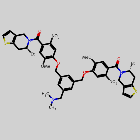 CC[C@@H]1Cc2sccc2CN1C(=O)c1cc(OC)c(OCc2cc(COc3cc([N+](=O)[O-])c(C(=O)N4Cc5ccsc5C[C@@H]4CC)cc3OC)cc(CN(C)C)c2)cc1[N+](=O)[O-]